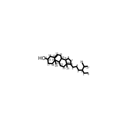 CCC(CCCC1CCC2C3CC=C4CC(O)CCC4(C)C3CCC12C)C(C)C